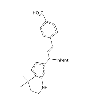 CCCCCC(C=Cc1ccc(C(=O)O)cc1)c1ccc2c(c1)NCCC2(C)C